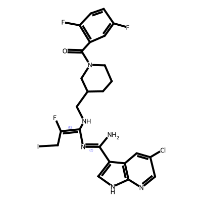 N/C(=N\C(NCC1CCCN(C(=O)c2cc(F)ccc2F)C1)=C(\F)CI)c1c[nH]c2ncc(Cl)cc12